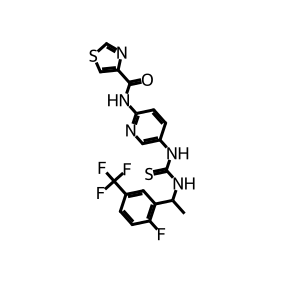 CC(NC(=S)Nc1ccc(NC(=O)c2cscn2)nc1)c1cc(C(F)(F)F)ccc1F